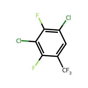 Fc1c(Cl)cc(C(F)(F)F)c(F)c1Cl